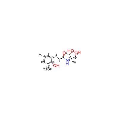 Cc1cc(CCC(=O)NC(C)(CO)CO)c(O)c(C(C)(C)C)c1